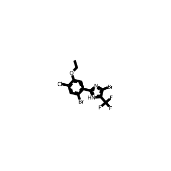 CCOc1cc(-c2nc(Br)c(C(F)(F)F)[nH]2)c(Br)cc1Cl